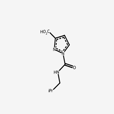 CC(C)CNC(=O)n1ccc(C(=O)O)n1